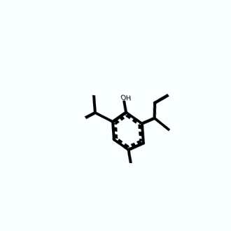 CCC(C)c1cc(C)cc(C(C)C)c1O